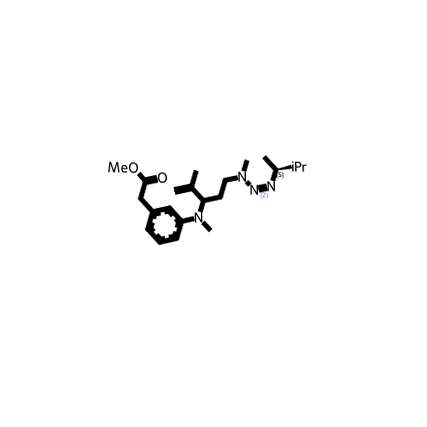 C=C(C)C(CCN(C)/N=N\[C@@H](C)C(C)C)N(C)c1cccc(CC(=O)OC)c1